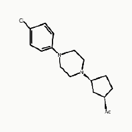 CC(=O)[C@@H]1CC[C@H](N2CCN(c3ccc(Cl)cc3)CC2)C1